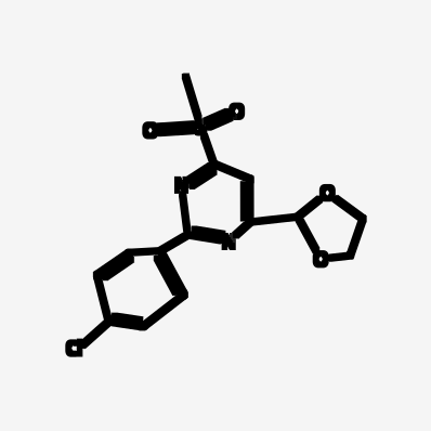 CS(=O)(=O)c1cc(C2OCCO2)nc(-c2ccc(Cl)cc2)n1